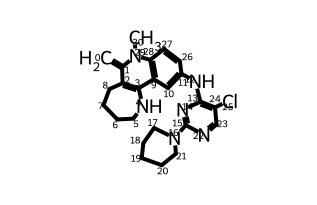 C=C1C2=C(NCCCC2)c2cc(Nc3nc(N4CCCCC4)ncc3Cl)ccc2N1C